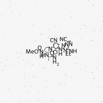 CCNc1nc(Nc2cc(C#N)cc(N3CC[C@@H](NC(=O)OC)[C@H](N[C@H](C)C(N)=O)C3)c2Cl)nn2c(C#N)cnc12